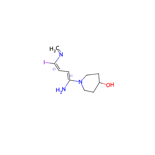 C=N/C(I)=C\C=C(/N)N1CCC(O)CC1